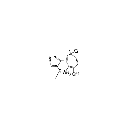 CSc1ccccc1C1=CC(C)(Cl)C=CC(O)=C1N